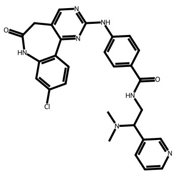 CN(C)C(CNC(=O)c1ccc(Nc2ncc3c(n2)-c2ccc(Cl)cc2NC(=O)C3)cc1)c1cccnc1